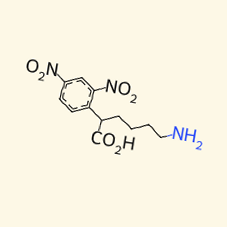 NCCCCC(C(=O)O)c1ccc([N+](=O)[O-])cc1[N+](=O)[O-]